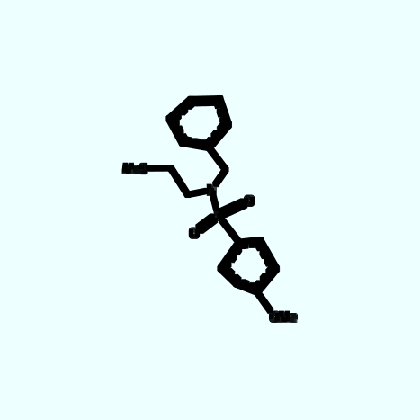 COc1ccc(S(=O)(=O)N(CCSC)Cc2ccccc2)cc1